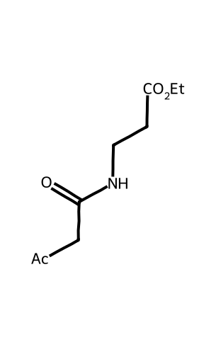 CCOC(=O)CCNC(=O)CC(C)=O